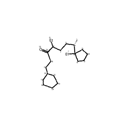 CCC(CC[C@H](C)C1(CC)CCCC1)C(=O)CCC1CCCCC1